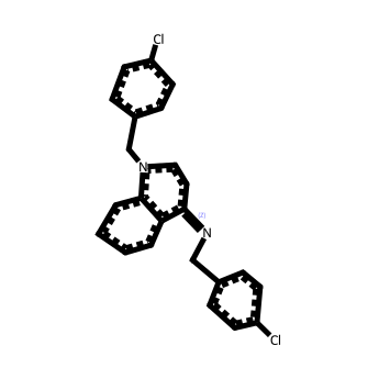 Clc1ccc(C/N=c2/ccn(Cc3ccc(Cl)cc3)c3ccccc23)cc1